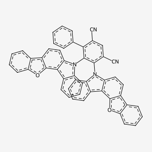 N#Cc1cc(C#N)c(-n2c3ccccc3c3c4oc5ccccc5c4ccc32)c(-n2c3ccccc3c3c4oc5ccccc5c4ccc32)c1-c1ccccc1